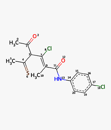 CC(=O)C(C(C)=S)/C(Cl)=C(\C)C(=O)Nc1ccc(Cl)cc1